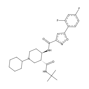 CC(C)(C)NC(=O)[C@@H]1CN(C2CCCCC2)CC[C@H]1NC(=O)c1cc(-c2ccc(F)cc2F)on1